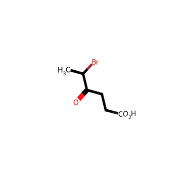 CC(Br)C(=O)CCC(=O)O